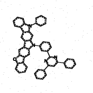 c1ccc(-c2cc(-c3ccccc3)nc(-c3cccc(-n4c5cc6c(cc5c5cc7c8ccccc8n(-c8ccccc8)c7cc54)oc4ccccc46)c3)n2)cc1